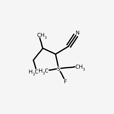 CCC(C)C(C#N)S(C)(C)F